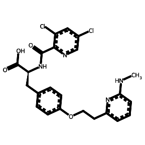 CNc1cccc(CCOc2ccc(C[C@H](NC(=O)c3ncc(Cl)cc3Cl)C(=O)O)cc2)n1